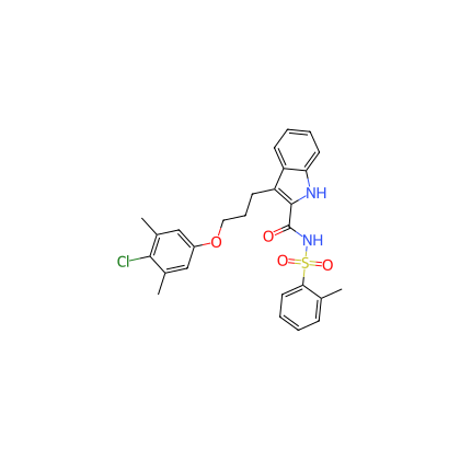 Cc1ccccc1S(=O)(=O)NC(=O)c1[nH]c2ccccc2c1CCCOc1cc(C)c(Cl)c(C)c1